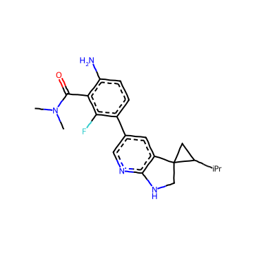 CC(C)C1CC12CNc1ncc(-c3ccc(N)c(C(=O)N(C)C)c3F)cc12